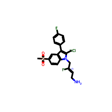 Cc1c(-c2ccc(F)cc2)c2cc(S(C)(=O)=O)ccc2n1C/C(F)=C/CN.Cl